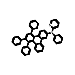 C1=CCCC(c2cc(-c3ccccc3)c(-c3ccccc3)c3c4ccccc4c4cc(N(c5ccccc5)c5ccccn5)ccc4c23)=C1